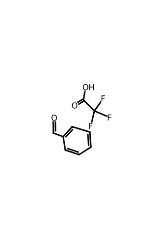 O=C(O)C(F)(F)F.O=Cc1ccccc1